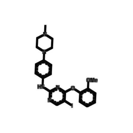 COc1ccccc1Oc1nc(Nc2ccc(N3CCN(C)CC3)cc2)ncc1I